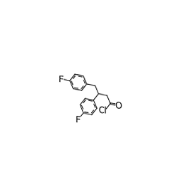 O=C(Cl)CC(Cc1ccc(F)cc1)c1ccc(F)cc1